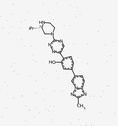 Cc1nc2ccc(-c3ccc(-c4cnc(N5CCN[C@@H](C(C)C)C5)nn4)c(O)c3)cn2n1